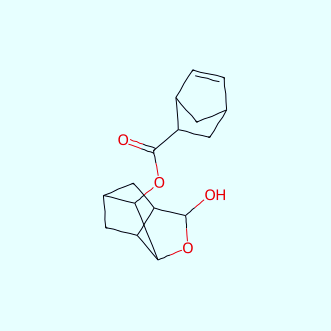 O=C(OC1C2CC3C(O)OC1C3C2)C1CC2C=CC1C2